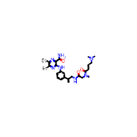 CCc1nc(Nc2cccc(C(C)CNC(=O)CN(C)C(=O)C=CCN(C)C)c2)c(C(N)=O)nc1CC